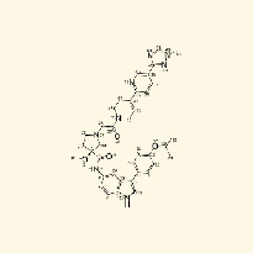 CO[C@@]1(C(=O)Nc2ccc3[nH]nc(-c4ccc(OC(C)C)nc4)c3c2)CCN(CC(=O)N2CC=C(c3ccc(-c4ncn(C)n4)cn3)CC2)C1